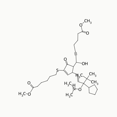 COC(=O)CCCC#CC(O)C1C(=O)C(SCCCCCC(=O)OC)=CC1C=CC(O[SiH](C)C)(C1CCCC1)C(C)(C)C